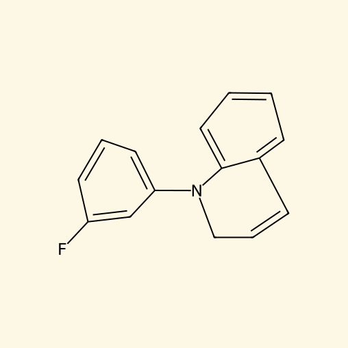 Fc1cccc(N2CC=Cc3ccccc32)c1